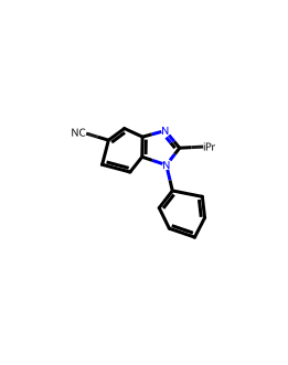 CC(C)c1nc2cc(C#N)ccc2n1-c1ccccc1